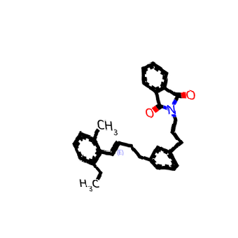 CCc1cccc(C)c1/C=C/CCc1cccc(CCCN2C(=O)c3ccccc3C2=O)c1